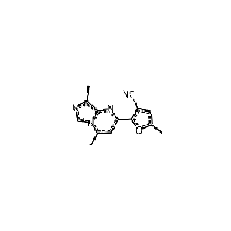 Cc1cc(C#N)c(-c2cc(C)n3cnc(C)c3n2)o1